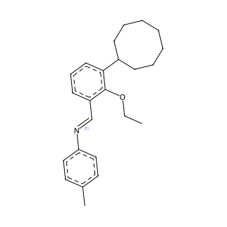 CCOc1c(/C=N/c2ccc(C)cc2)cccc1C1CCCCCCC1